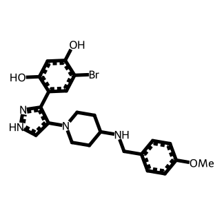 COc1ccc(CNC2CCN(c3c[nH]nc3-c3cc(Br)c(O)cc3O)CC2)cc1